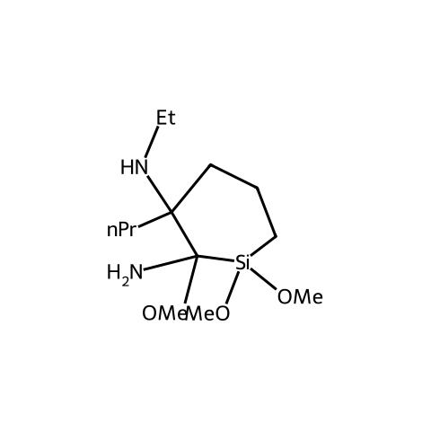 CCCC1(NCC)CCC[Si](OC)(OC)C1(N)OC